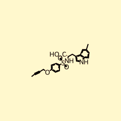 CC#CCOc1ccc(S(=O)(=O)N[C@@H](Cc2c[nH]c3ccc(C)cc23)C(=O)O)cc1